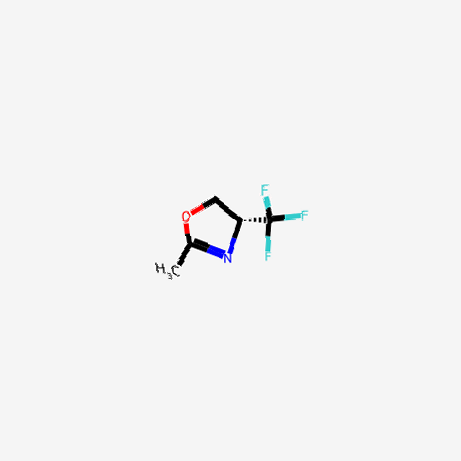 CC1=N[C@@H](C(F)(F)F)CO1